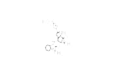 CN1C(=O)[C@@]2(C[C@H]2c2cn(C)c(=O)c3[nH]c(C4CN(C(=O)O)C4)cc23)c2ccccc21